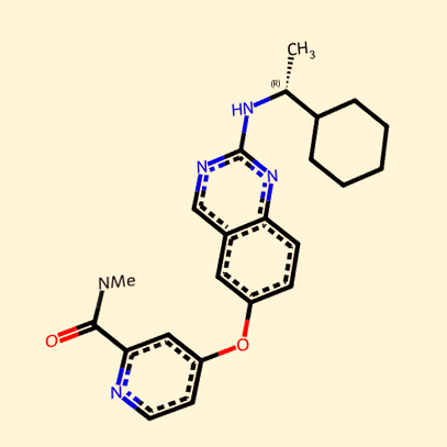 CNC(=O)c1cc(Oc2ccc3nc(N[C@H](C)C4CCCCC4)ncc3c2)ccn1